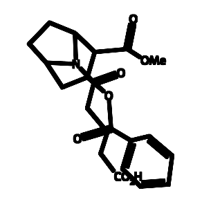 COC(=O)C1C(OC(=O)c2ccccc2)CC2CCC1N2C(=O)CCCC(=O)O